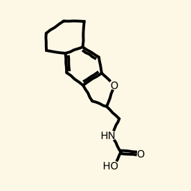 O=C(O)NCC1Cc2cc3c(cc2O1)CCCC3